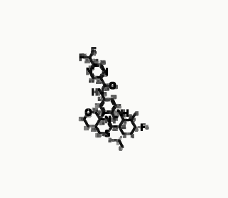 CC(C)[C@H]1C[C@@H](F)C(C)C(N)C1C1=N[C@@]2(c3cc(NC(=O)c4cnc(C(F)F)cn4)ccc3F)COCCC2CS1